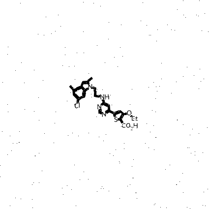 CCOc1cc(-c2cc(NCCn3c(C)cc4c(C)cc(Cl)cc43)ncn2)sc1C(=O)O